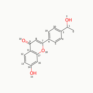 CC(O)c1ccc(-c2cc(=O)c3ccc(O)cc3o2)cc1